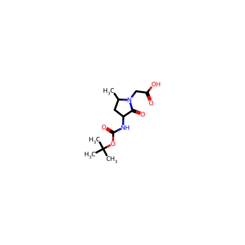 CC1CC(NC(=O)OC(C)(C)C)C(=O)N1CC(=O)O